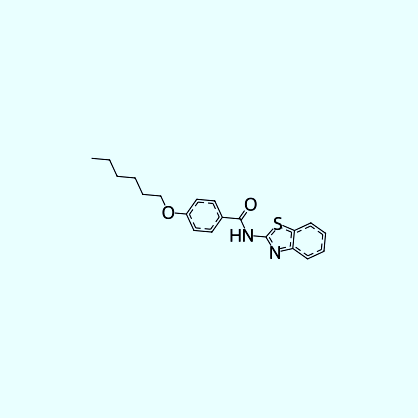 CCCCCCOc1ccc(C(=O)Nc2nc3ccccc3s2)cc1